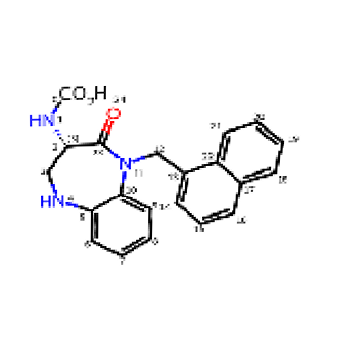 O=C(O)N[C@H]1CNc2ccccc2N(Cc2cccc3ccccc23)C1=O